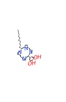 CCCCCCCCCCCC1=C2C=CC(=N2)C=C2C=CC(=N2)C(c2cc(O)cc(O)c2)=C2C=CC(=N2)C=C2C=CC1=N2